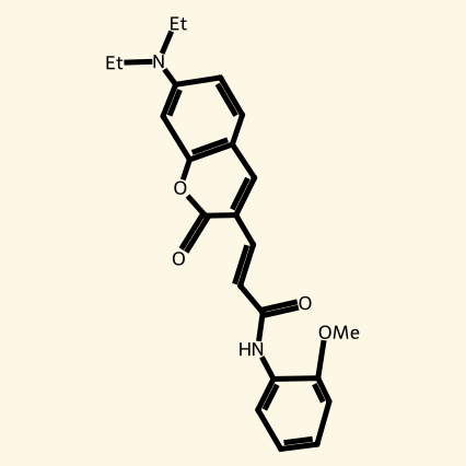 CCN(CC)c1ccc2cc(/C=C/C(=O)Nc3ccccc3OC)c(=O)oc2c1